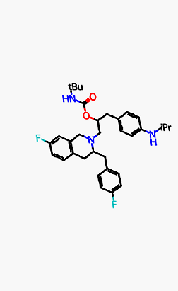 CC(C)Nc1ccc(CC(CN2Cc3cc(F)ccc3CC2Cc2ccc(F)cc2)OC(=O)NC(C)(C)C)cc1